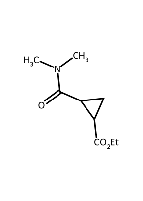 CCOC(=O)C1CC1C(=O)N(C)C